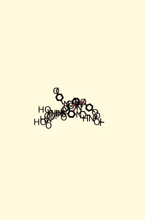 COc1ccc(CN(Cc2ccc(OC)cc2)S(=O)(=O)c2c(S(=O)(=O)NC[C@H](CNC(=O)O)NC(=O)O)ccc(N3CCC(CNC(=O)OC(C)(C)C)CC3)c2-c2nnn(Cc3ccc(OC)cc3)n2)cc1